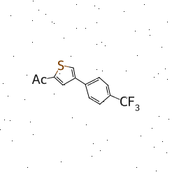 CC(=O)c1cc(-c2ccc(C(F)(F)F)cc2)cs1